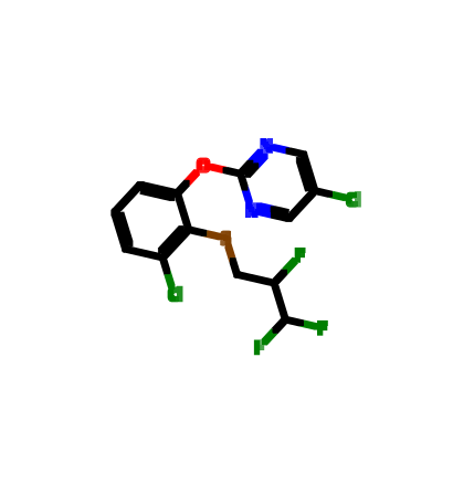 FC(F)C(F)CSc1c(Cl)cccc1Oc1ncc(Cl)cn1